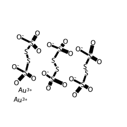 O=S(=O)([O-])SSS(=O)(=O)[O-].O=S(=O)([O-])SSS(=O)(=O)[O-].O=S(=O)([O-])SSS(=O)(=O)[O-].[Au+3].[Au+3]